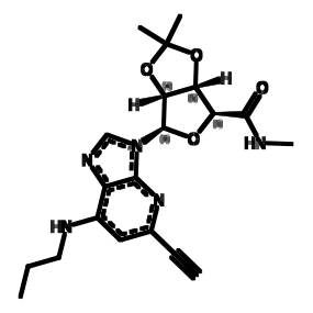 C#Cc1cc(NCCC)c2ncn([C@@H]3O[C@H](C(=O)NC)[C@H]4OC(C)(C)O[C@H]43)c2n1